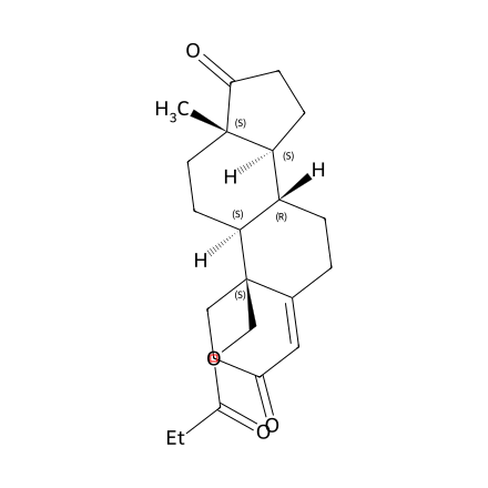 CCC(=O)OC[C@]12CCC(=O)C=C1CC[C@@H]1[C@@H]2CC[C@]2(C)C(=O)CC[C@@H]12